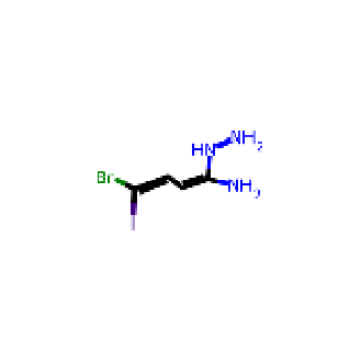 NN/C(N)=C\C=C(\Br)I